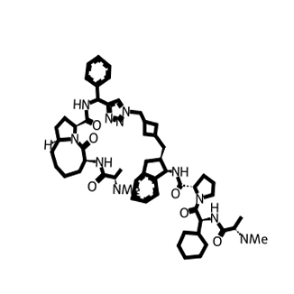 CN[C@@H](C)C(=O)N[C@H]1CCCC[C@H]2CC[C@@H](C(=O)NC(c3ccccc3)c3cn(CC4CC(C[C@@H]5Cc6ccccc6[C@@H]5NC(=O)[C@@H]5CCCN5C(=O)[C@@H](NC(=O)[C@H](C)NC)C5CCCCC5)C4)nn3)N2C1=O